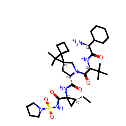 CC[C@@H]1C[C@]1(NC(=O)[C@@H]1C[C@@]2(CN1C(=O)[C@@H](NC(=O)[C@@H](N)C1CCCCC1)C(C)(C)C)C(C)(C)C21CCC1)C(=O)NS(=O)(=O)N1CCCC1